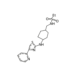 CCS(=O)(=O)NCC1CCC(Nc2nc(-c3ccccn3)cs2)CC1